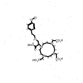 CCOc1ccc(CCOCC(C(=O)OC)N2CCN(CC(=O)O)CCN(CC(=O)O)CCN(CC(=O)O)CC2)cc1